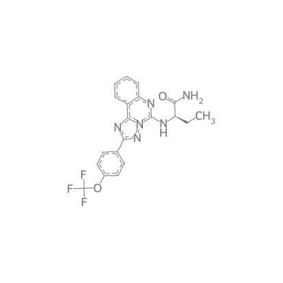 CC[C@@H](Nc1nc2ccccc2c2nc(-c3ccc(OC(F)(F)F)cc3)nn12)C(N)=O